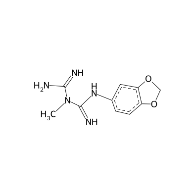 CN(C(=N)N)C(=N)Nc1ccc2c(c1)OCO2